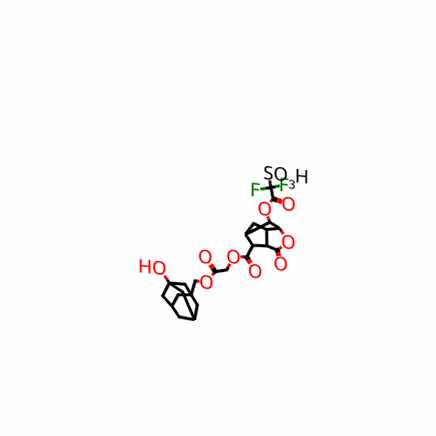 O=C(COC(=O)C1C2CC3C(OC(=O)C31)C2OC(=O)C(F)(F)S(=O)(=O)O)OCC12CC3CC(CC(O)(C3)C1)C2